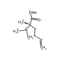 C=CCC[C@@](C)(C(=O)OC)N(C)C